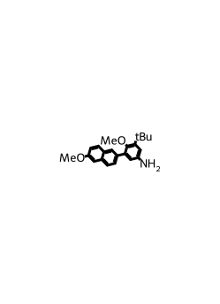 COc1ccc2cc(-c3cc(N)cc(C(C)(C)C)c3OC)ccc2c1